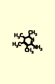 CC1=C(C)C(C)C(C)N=C1N